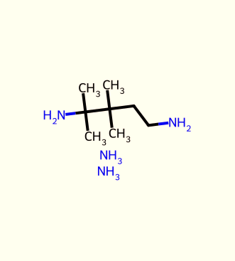 CC(C)(N)C(C)(C)CCN.N.N